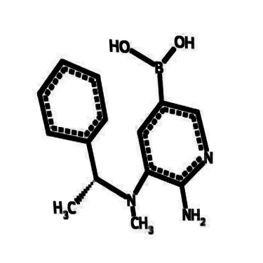 C[C@H](c1ccccc1)N(C)c1cc(B(O)O)cnc1N